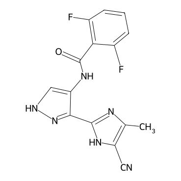 Cc1nc(-c2n[nH]cc2NC(=O)c2c(F)cccc2F)[nH]c1C#N